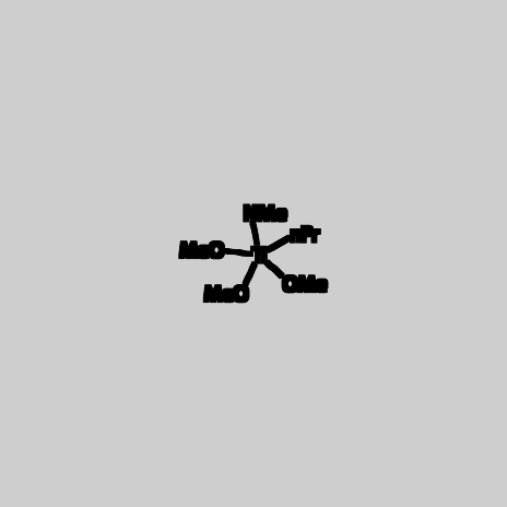 CC[CH2][Ti]([NH]C)([O]C)([O]C)[O]C